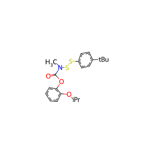 CC(C)Oc1ccccc1OC(=O)N(C)SSc1ccc(C(C)(C)C)cc1